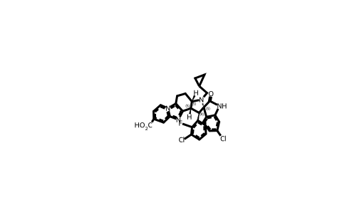 O=C(O)c1ccn2c3c(nc2c1)[C@@H]1[C@H](CC3)N(CC2CC2)[C@@]2(C(=O)Nc3cc(Cl)ccc32)[C@H]1c1cccc(Cl)c1F